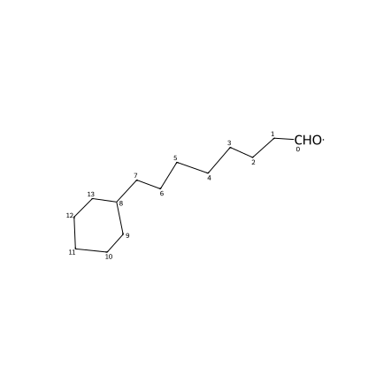 O=[C]CCCCCCCC1CCCCC1